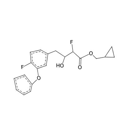 O=C(OCC1CC1)C(F)C(O)Cc1ccc(F)c(Oc2ccccc2)c1